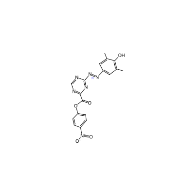 Cc1cc(/N=N/c2ncnc(C(=O)Oc3ccc([N+](=O)[O-])cc3)n2)cc(C)c1O